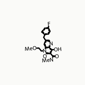 CNC(=O)c1c(O)c2ncc(Cc3ccc(F)cc3)cc2n(CCOC)c1=O